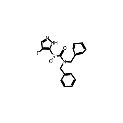 O=C(N(Cc1ccccc1)Cc1ccccc1)[S+]([O-])c1[nH]ncc1F